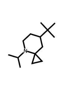 CC(C)N1CCC(C(C)(C)C)CC12CC2